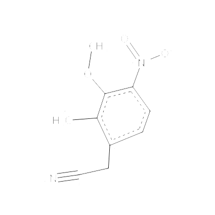 COc1c([N+](=O)[O-])ccc(CC#N)c1C